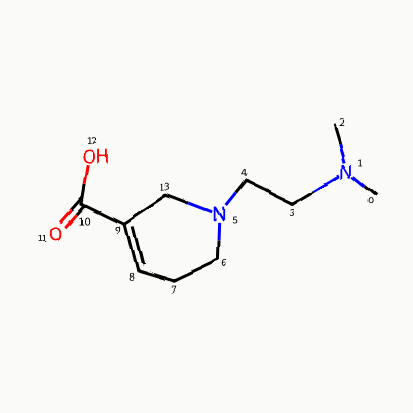 CN(C)CCN1CCC=C(C(=O)O)C1